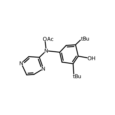 CC(=O)ON(c1cc(C(C)(C)C)c(O)c(C(C)(C)C)c1)c1cnccn1